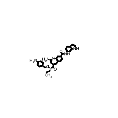 CCCN(OCc1ccc(N)cc1)C(=O)C1=Cc2ccc(C(=O)Nc3ccc4cc[nH]c4c3)cc2N=C(N)C1